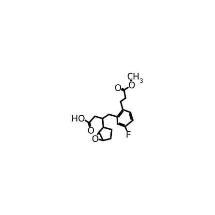 COC(=O)CCc1ccc(F)cc1CC(CC(=O)O)C1CCC2OC21